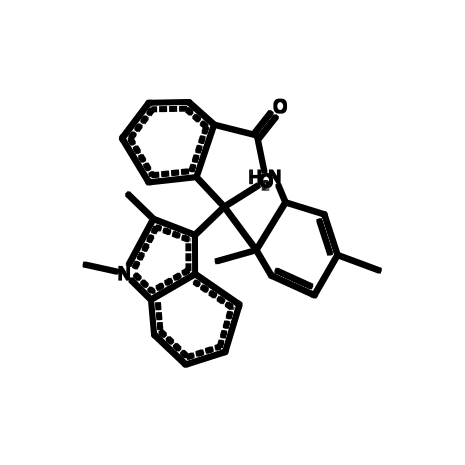 CC1=CC(N)C(C)(C2(c3c(C)n(C)c4ccccc34)OC(=O)c3ccccc32)C=C1